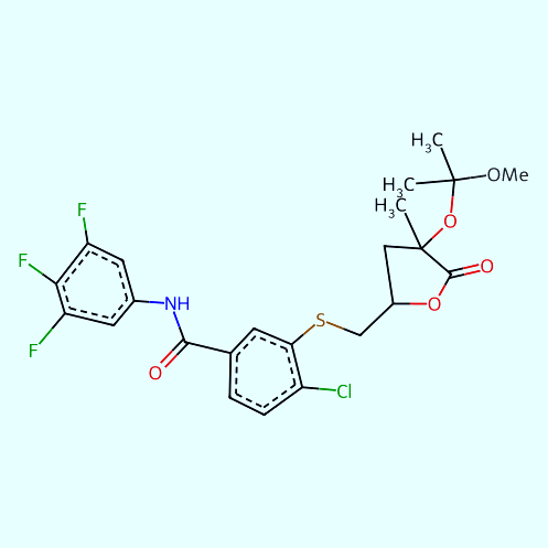 COC(C)(C)OC1(C)CC(CSc2cc(C(=O)Nc3cc(F)c(F)c(F)c3)ccc2Cl)OC1=O